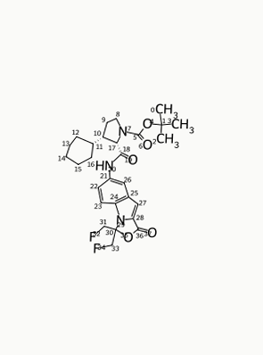 CC(C)(C)OC(=O)N1CC[C@@H](C2CCCCC2)[C@H]1C(=O)Nc1ccc2c(c1)cc1n2C(CF)(CF)OC1=O